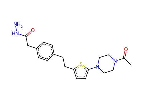 CC(=O)N1CCN(c2ccc(CCc3ccc(CC(=O)NN)cc3)s2)CC1